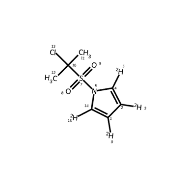 [2H]c1c([2H])c([2H])n(S(=O)(=O)C(C)(C)Cl)c1[2H]